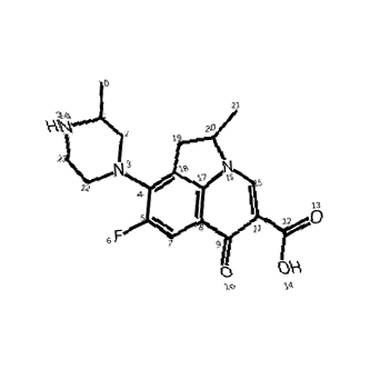 CC1CN(c2c(F)cc3c(=O)c(C(=O)O)cn4c3c2CC4C)CCN1